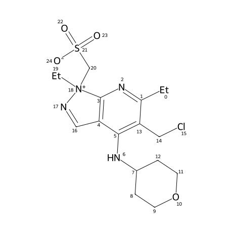 CCc1nc2c(c(NC3CCOCC3)c1CCl)C=N[N+]2(CC)CS(=O)(=O)[O-]